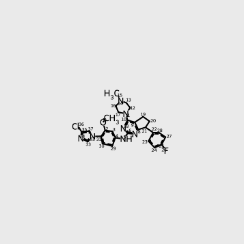 COc1cc(Nc2nc3c(c(N4CCN(C)CC4)n2)CCC3c2ccc(F)cc2)ccc1-n1cnc(Cl)c1